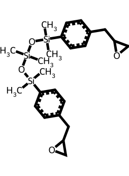 C[Si](C)(O[Si](C)(C)c1ccc(CC2CO2)cc1)O[Si](C)(C)c1ccc(CC2CO2)cc1